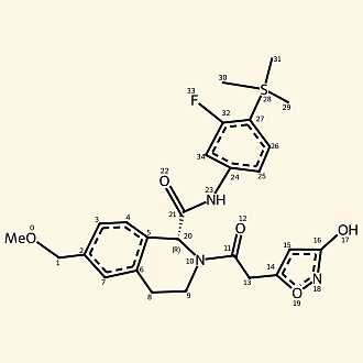 COCc1ccc2c(c1)CCN(C(=O)Cc1cc(O)no1)[C@H]2C(=O)Nc1ccc(S(C)(C)C)c(F)c1